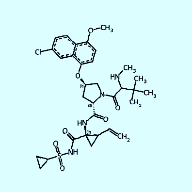 C=CC1C[C@]1(NC(=O)[C@@H]1C[C@@H](Oc2ccc(OC)c3ccc(Cl)cc23)CN1C(=O)C(NC)C(C)(C)C)C(=O)NS(=O)(=O)C1CC1